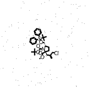 C=C(CCl)C[C@]1(C(=O)OC)CC[C@@H](CO[Si](c2ccccc2)(c2ccccc2)C(C)(C)C)N1C(=O)OC(C)(C)C